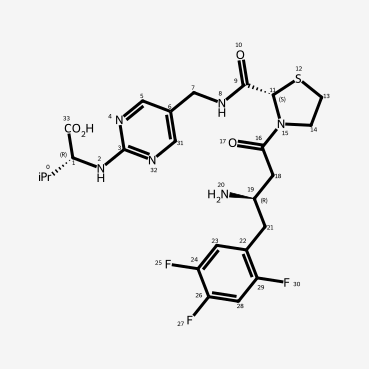 CC(C)[C@@H](Nc1ncc(CNC(=O)[C@@H]2SCCN2C(=O)C[C@H](N)Cc2cc(F)c(F)cc2F)cn1)C(=O)O